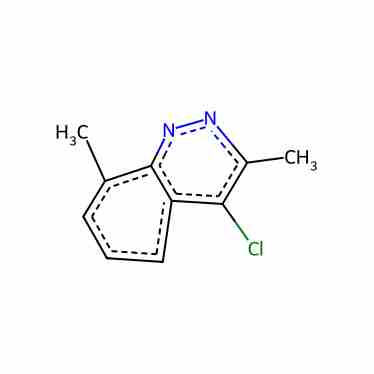 Cc1nnc2c(C)cccc2c1Cl